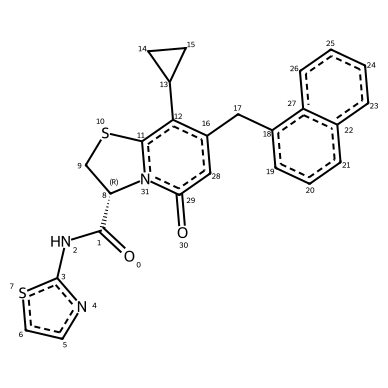 O=C(Nc1nccs1)[C@@H]1CSc2c(C3CC3)c(Cc3cccc4ccccc34)cc(=O)n21